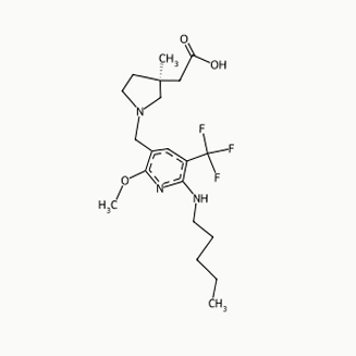 CCCCCNc1nc(OC)c(CN2CC[C@@](C)(CC(=O)O)C2)cc1C(F)(F)F